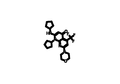 O=c1cc(NC2CCCC2)n(C2CCCC2)c2nc(N3CCOCC3)cc(C(F)(F)F)c12